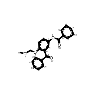 COCOc1ccc(OC(=O)c2ccccc2)cc1C(=O)c1ccccc1